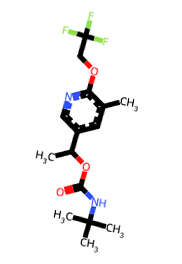 Cc1cc(C(C)OC(=O)NC(C)(C)C)cnc1OCC(F)(F)F